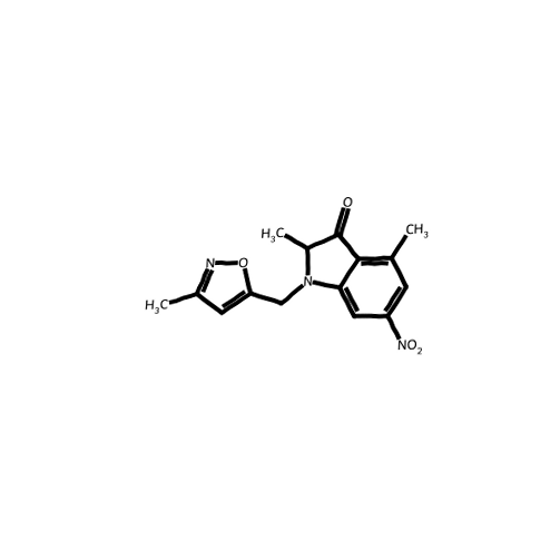 Cc1cc(CN2c3cc([N+](=O)[O-])cc(C)c3C(=O)C2C)on1